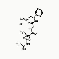 CCOC(=O)CC(NC(=O)CNC(=O)c1sc(NC(=N)N)nc1C)c1ccccc1.Cl